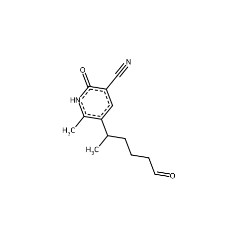 Cc1[nH]c(=O)c(C#N)cc1C(C)CCCC=O